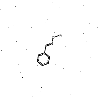 CC(C)ON=Cc1ccccc1